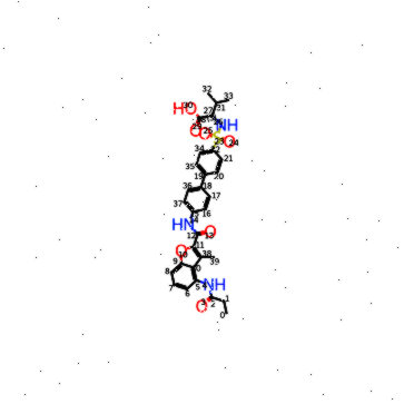 CCC(=O)Nc1cccc2oc(C(=O)Nc3ccc(-c4ccc(S(=O)(=O)N[C@H](C(=O)O)C(C)C)cc4)cc3)c(C)c12